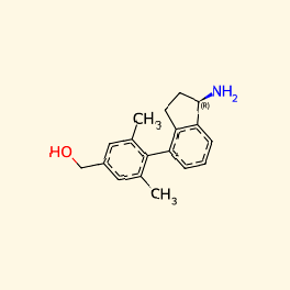 Cc1cc(CO)cc(C)c1-c1cccc2c1CC[C@H]2N